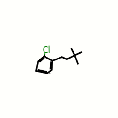 CC(C)(C)CCc1c[c]ccc1Cl